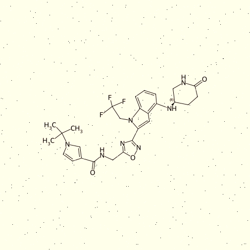 CC(C)(C)n1ccc(C(=O)NCc2nc(-c3cc4c(N[C@@H]5CCC(=O)NC5)cccc4n3CC(F)(F)F)no2)c1